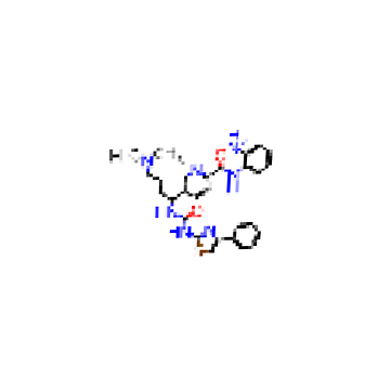 CN(C)CCCC(NC(=O)Nc1nc(-c2ccccc2)cs1)c1ccc(C(=O)Nc2ccccc2N)nc1